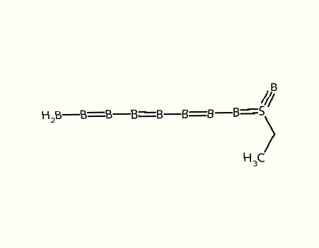 B#S(=BB=BB=BB=BB)CC